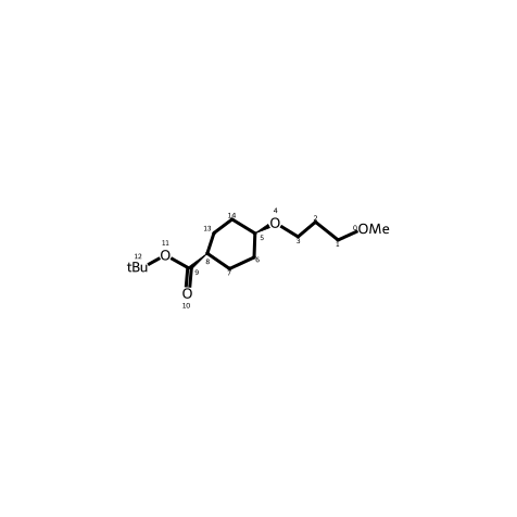 COCCCO[C@H]1CC[C@@H](C(=O)OC(C)(C)C)CC1